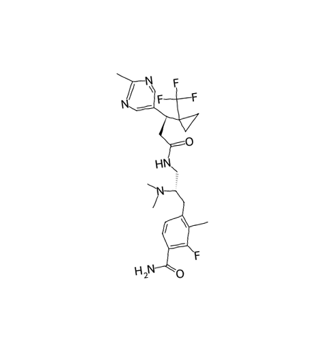 Cc1ncc([C@H](CC(=O)NC[C@H](Cc2ccc(C(N)=O)c(F)c2C)N(C)C)C2(C(F)(F)F)CC2)cn1